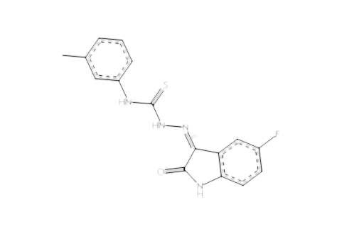 Cc1cccc(NC(=S)N/N=C2\C(=O)Nc3ccc(F)cc32)c1